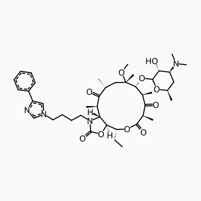 CC[C@H]1OC(=O)[C@H](C)C(=O)[C@H](C)[C@@H](OC2O[C@H](C)C[C@H](N(C)C)[C@H]2O)[C@@](C)(OC)C[C@@H](C)C(=O)[C@H](C)[C@@H]2[C@@H]1OC(=O)N2CCCCn1cnc(-c2ccccc2)c1